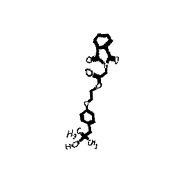 CC(C)(O)Cc1ccc(OCCOC(=O)CN2C(=O)c3ccccc3C2=O)cc1